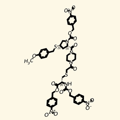 COc1ccc(CS[C@H]2C[C@@H](C(=O)N3CCN(C(=O)CSC[C@H](NC(=O)OCc4ccc([N+](=O)[O-])cc4)C(=O)OCc4ccc([N+](=O)[O-])cc4)CC3)N(C(=O)OCc3ccc([N+](=O)[O-])cc3)C2)cc1